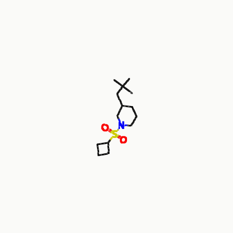 CC(C)(C)CC1CCCN(S(=O)(=O)C2CCC2)C1